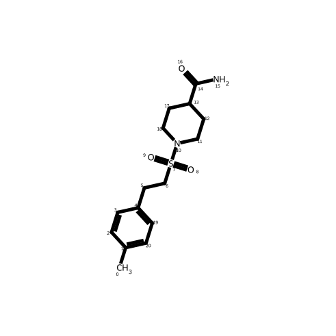 Cc1ccc(CCS(=O)(=O)N2CCC(C(N)=O)CC2)cc1